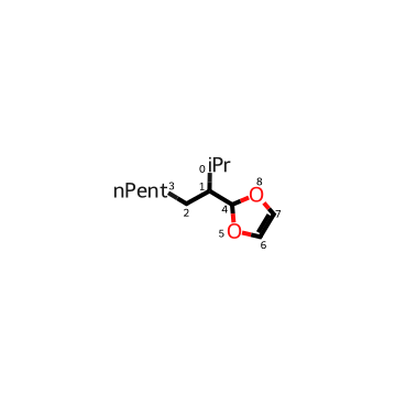 [CH2]C(C)C(CCCCCC)C1OC=CO1